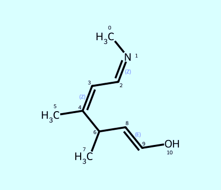 C/N=C\C=C(\C)C(C)/C=C/O